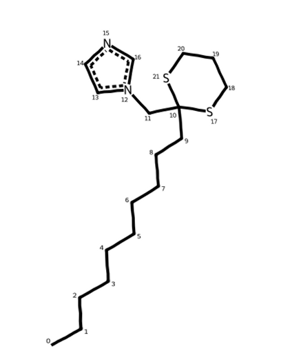 CCCCCCCCCCC1(Cn2ccnc2)SCCCS1